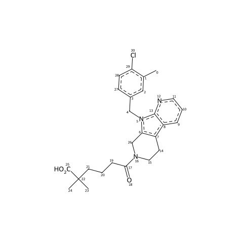 Cc1cc(Cn2c3c(c4cccnc42)CCN(C(=O)CCCC(C)(C)C(=O)O)C3)ccc1Cl